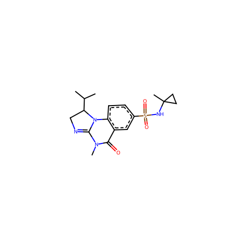 CC(C)C1CN=C2N(C)C(=O)c3cc(S(=O)(=O)NC4(C)CC4)ccc3N21